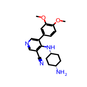 COc1ccc(-c2cncc(C#N)c2N[C@H]2CC[C@@H](N)CC2)cc1OC